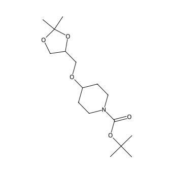 CC(C)(C)OC(=O)N1CCC(OCC2COC(C)(C)O2)CC1